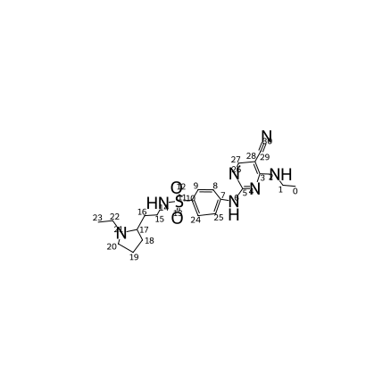 CCNc1nc(Nc2ccc(S(=O)(=O)NCCC3CCCN3CC)cc2)ncc1C#N